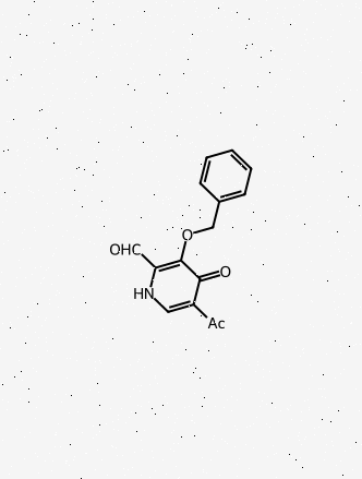 CC(=O)c1c[nH]c(C=O)c(OCc2ccccc2)c1=O